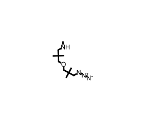 CNCC(C)(C)COCC(C)(C)CN=[N+]=[N-]